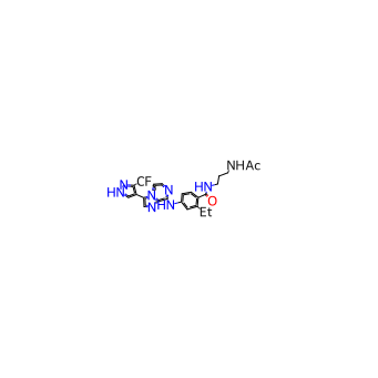 CCc1cc(Nc2nccn3c(-c4c[nH]nc4C(F)(F)F)cnc23)ccc1C(=O)NCCCNC(C)=O